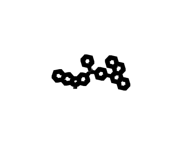 c1ccc(N(c2ccc(-c3cc4ccccc4c4ccc5ccccc5c34)cc2)c2ccc3sc4cc5ccccc5cc4c3c2)cc1